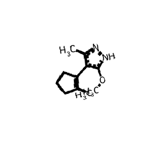 COc1[nH]nc(C)c1C1=C(C)CCC1